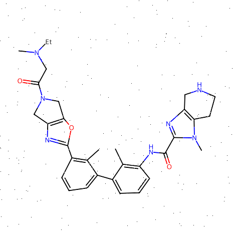 CCN(C)CC(=O)N1Cc2nc(-c3cccc(-c4cccc(NC(=O)c5nc6c(n5C)CCNC6)c4C)c3C)oc2C1